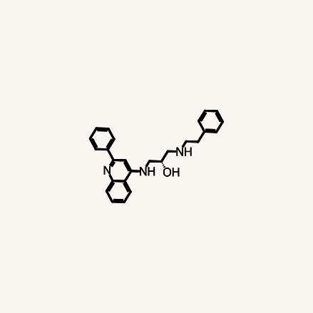 O[C@@H](CNCCc1ccccc1)CNc1cc(-c2ccccc2)nc2ccccc12